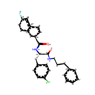 O=C(N[C@@H](Cc1ccc(Cl)cc1)C(=O)NCCCc1ccccc1)c1ccc2cc(F)ccc2c1